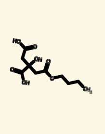 CCCCOC(=O)CC(O)(CC(=O)O)C(=O)O